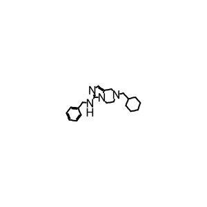 c1ccc(CNc2ncc3n2CCN(CC2CCCCC2)C3)cc1